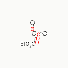 CCOC(=O)C(=O)CC(=O)c1ccc(OCc2ccccc2)cc1OCc1ccccc1